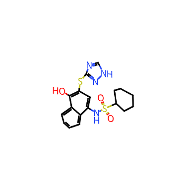 O=S(=O)(Nc1cc(Sc2nc[nH]n2)c(O)c2ccccc12)C1CCCCC1